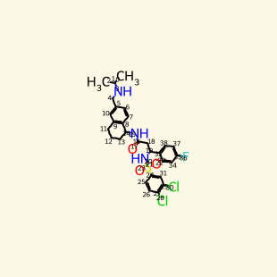 CC(C)NCc1ccc2c(c1)CCCC2NC(=O)CC(NS(=O)(=O)c1ccc(Cl)c(Cl)c1)c1ccc(F)cc1